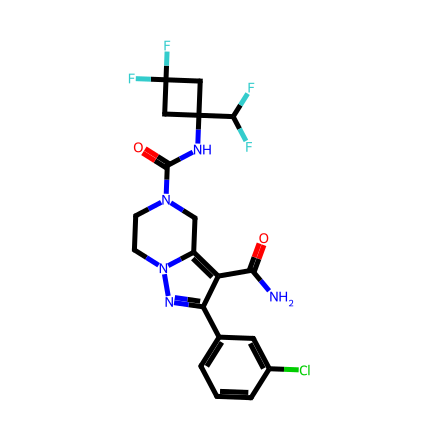 NC(=O)c1c(-c2cccc(Cl)c2)nn2c1CN(C(=O)NC1(C(F)F)CC(F)(F)C1)CC2